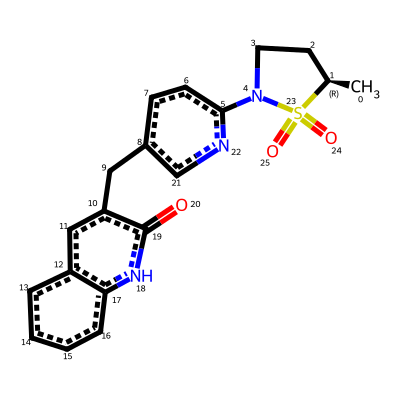 C[C@@H]1CCN(c2ccc(Cc3cc4ccccc4[nH]c3=O)cn2)S1(=O)=O